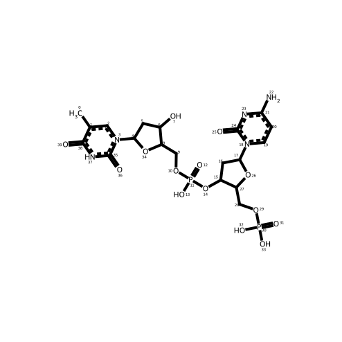 Cc1cn(C2CC(O)C(COP(=O)(O)OC3CC(n4ccc(N)nc4=O)OC3COP(=O)(O)O)O2)c(=O)[nH]c1=O